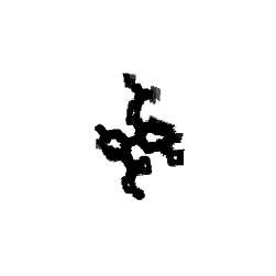 COC(=O)c1cnc(C)cc1-c1cc(Cl)nnc1OC(F)F